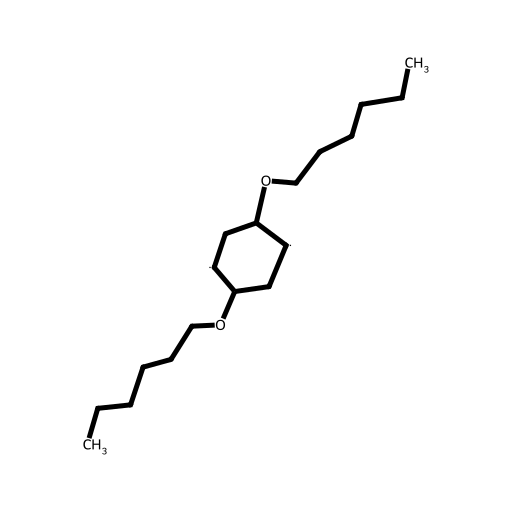 CCCCCCOC1[CH]CC(OCCCCCC)[CH]C1